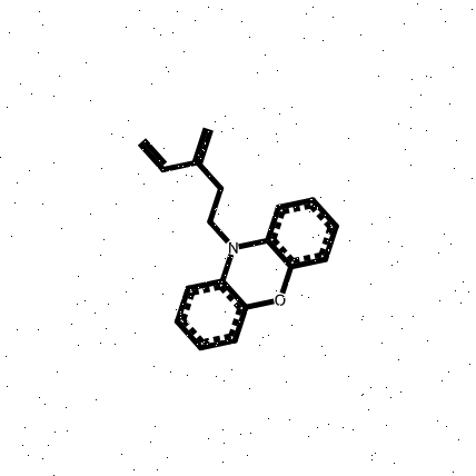 C=CC(=C)CCN1c2ccccc2Oc2ccccc21